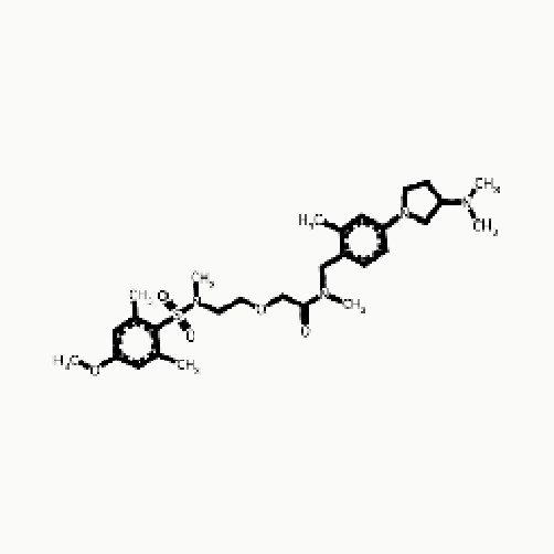 COc1cc(C)c(S(=O)(=O)N(C)CCOCC(=O)N(C)Cc2ccc(N3CCC(N(C)C)C3)cc2C)c(C)c1